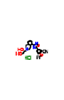 CC(C)Oc1ccc(-c2nc(-c3cccc4c3CCN(CC(O)CO)CC4)no2)cc1C#N.Cl